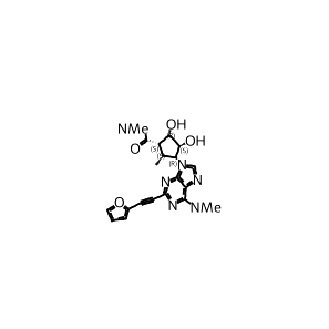 CNC(=O)[C@H]1[C@H](C)[C@@H](n2cnc3c(NC)nc(C#Cc4ccco4)nc32)[C@H](O)[C@@H]1O